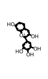 Oc1ccc2cc(O)c(-c3cc(O)c(O)c(O)c3)[o+]c2c1